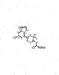 CNC(=O)CN1CCN(c2cc(Cl)cc3[nH]ncc23)CC1(C)C